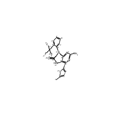 Cc1ccc(-c2nc(N)nc3c2[nH]c(=O)n3-c2ccccc2C(F)(F)F)o1